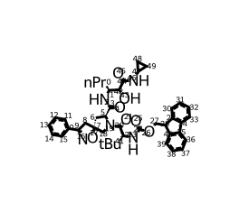 CCC[C@H](NC(=O)[C@@H]1C[C@]2(CC(c3ccccc3)=NO2)CN1C(=O)[C@@H](NC(=O)OCC1c2ccccc2-c2ccccc21)C(C)(C)C)C(O)C(=O)NC1CC1